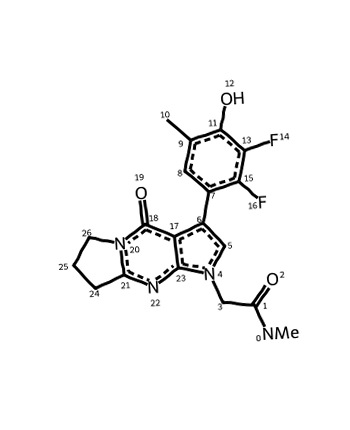 CNC(=O)Cn1cc(-c2cc(C)c(O)c(F)c2F)c2c(=O)n3c(nc21)CCC3